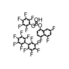 Fc1c(F)c(F)c(-c2c(F)c(F)c(F)c(F)c2F)c(F)c1F.OB(Oc1c(F)c(F)c(F)c(F)c1F)Oc1ccc(F)c2c(F)cc(F)cc12